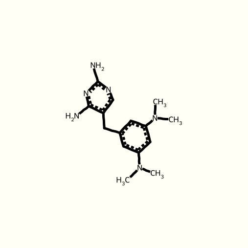 CN(C)c1cc(Cc2cnc(N)nc2N)cc(N(C)C)c1